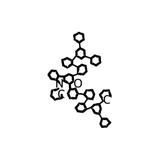 c1ccc(-c2cc(-c3ccccc3)cc(-c3ccccc3-c3ccccc3-c3cccc4c3oc3c(-c5ccccc5-c5ccccc5-c5cc(-c6ccccc6)cc(-c6ccccc6)c5)cc5c6ccccc6n(-c6ccccc6)c5c34)c2)cc1